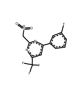 O=[SH](=O)Cc1nc(-c2cccc(F)c2)cc(C(F)(F)F)n1